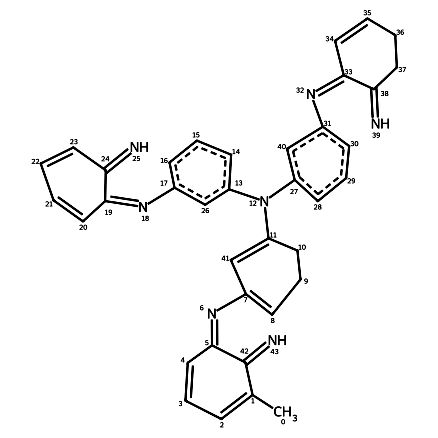 CC1=CC=C/C(=N/C2=CCCC(N(c3cccc(/N=C4/C=CC=CC4=N)c3)c3cccc(/N=C4/C=CCCC4=N)c3)=C2)C1=N